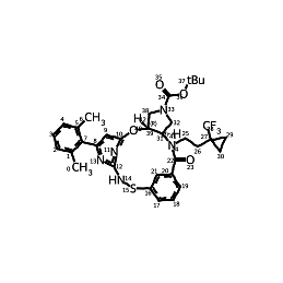 Cc1cccc(C)c1-c1cc2nc(n1)NSc1cccc(c1)C(=O)N(CCC1(C(F)(F)F)CC1)[C@@H]1CN(C(=O)OC(C)(C)C)C[C@H]1O2